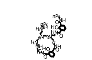 CCCNNCCN1CCNNCCNC(=O)c2cccc(c2O)C(=O)NCCN(CCNC(=O)c2cccc(C(=O)NCCC)c2O)CC1